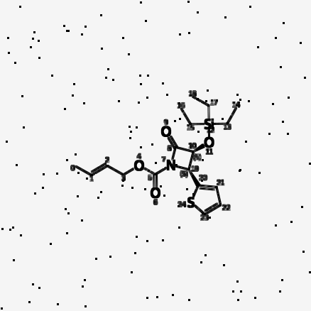 CC=CCOC(=O)N1C(=O)[C@@H](O[Si](CC)(CC)CC)[C@H]1c1cccs1